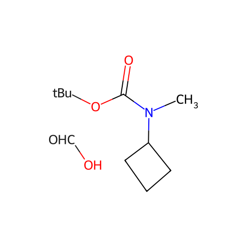 CN(C(=O)OC(C)(C)C)C1CCC1.O=CO